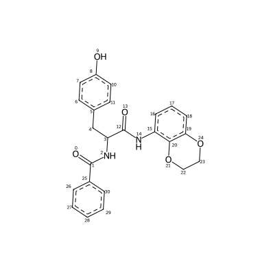 O=C(NC(Cc1ccc(O)cc1)C(=O)Nc1cccc2c1OCCO2)c1ccccc1